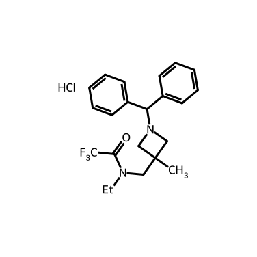 CCN(CC1(C)CN(C(c2ccccc2)c2ccccc2)C1)C(=O)C(F)(F)F.Cl